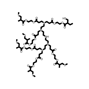 CCC(CS)C(=O)OCCOC(=O)CCN(CCC(=O)OCCOC(=O)C(C)CSC)CCN(CCNCCN(CCC(=O)OCCOC(=O)C(C)CSC)CCN(CCC(=O)OCCOC(=O)C(C)CSC)CCC(=O)OCCOC(=O)C(C)CSC)CCC(=O)OCCOC(=O)C(C)CSC